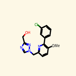 COc1ccc(Cn2cnc(CO)n2)nc1-c1cccc(Cl)c1